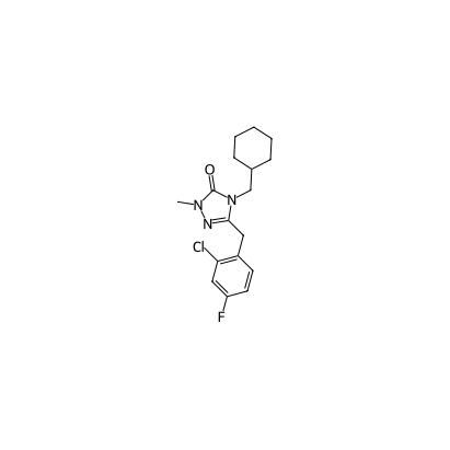 Cn1nc(Cc2ccc(F)cc2Cl)n(CC2CCCCC2)c1=O